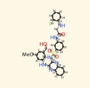 COc1cc(CO)cc(Nc2nc3ccccc3nc2NS(=O)(=O)c2cccc(NC(=O)CNc3ccccc3F)c2)c1